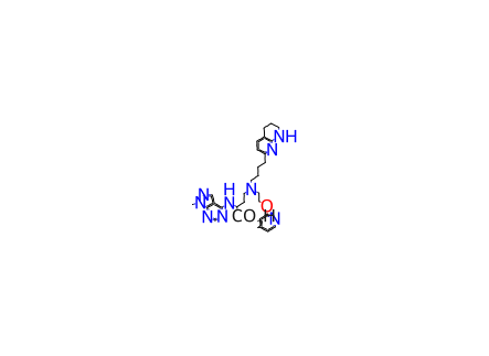 Cn1ncc2c(N[C@@H](CCN(CCCCc3ccc4c(n3)NCCC4)CCOc3ccccn3)C(=O)O)ncnc21